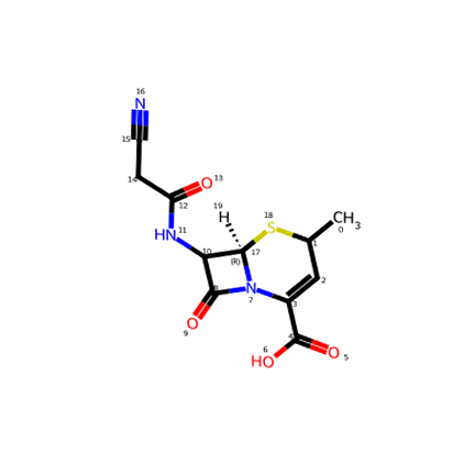 CC1C=C(C(=O)O)N2C(=O)C(NC(=O)CC#N)[C@H]2S1